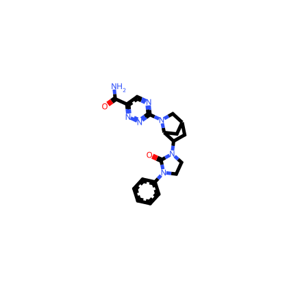 NC(=O)c1cnc(N2CC3CC(N4CCN(c5ccccc5)C4=O)C2C3)nn1